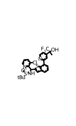 CC(C)(C)[S+]([O-])NC(c1cc2cccc(-c3cc([C@@](C)(O)C(F)(F)F)ccn3)c2s1)c1ncccc1Cl